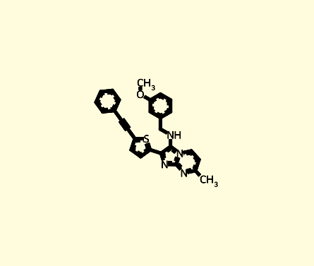 COc1cccc(CNc2c(-c3ccc(C#Cc4ccccc4)s3)nc3nc(C)ccn23)c1